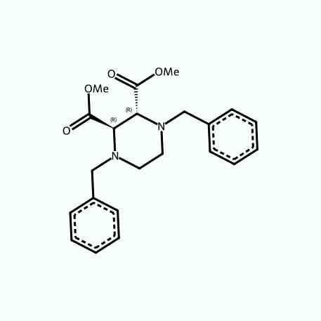 COC(=O)[C@H]1[C@H](C(=O)OC)N(Cc2ccccc2)CCN1Cc1ccccc1